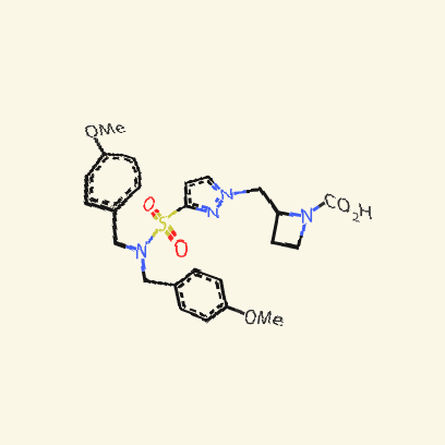 COc1ccc(CN(Cc2ccc(OC)cc2)S(=O)(=O)c2ccn(CC3CCN3C(=O)O)n2)cc1